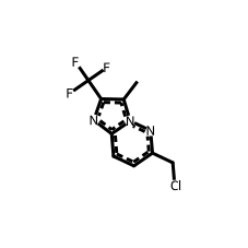 Cc1c(C(F)(F)F)nc2ccc(CCl)nn12